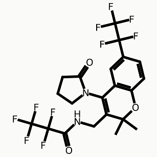 CC1(C)Oc2ccc(C(F)(F)C(F)(F)F)cc2C(N2CCCC2=O)=C1CNC(=O)C(F)(F)C(F)(F)F